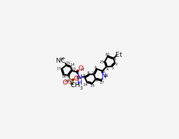 CCc1ccc(-c2cc3cc(NC(=O)c4cc(C#N)ccc4S(C)(=O)=O)ccc3cn2)cc1